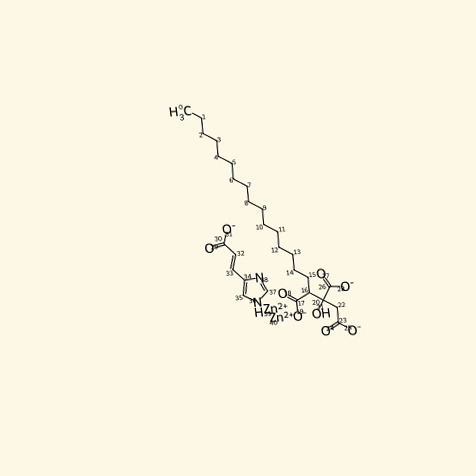 CCCCCCCCCCCCCCCCC(C(=O)[O-])C(O)(CC(=O)[O-])C(=O)[O-].O=C([O-])C=Cc1c[nH]cn1.[Zn+2].[Zn+2]